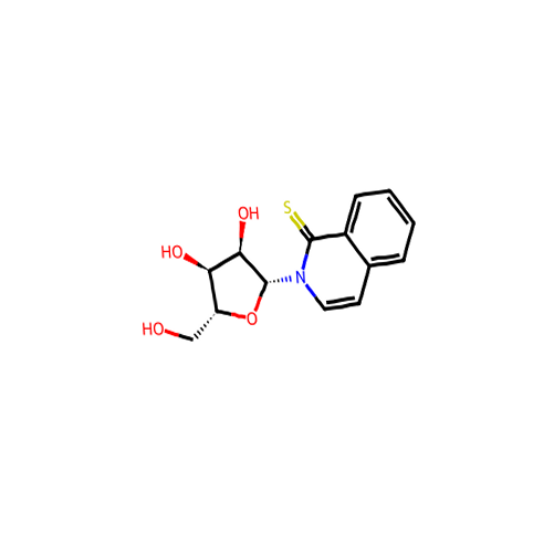 OC[C@H]1O[C@@H](n2ccc3ccccc3c2=S)[C@H](O)[C@@H]1O